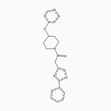 O=C(Cc1csc(-c2ccccc2)n1)N1CCC(Oc2ccncc2)CC1